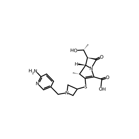 C[C@@H](O)[C@H]1C(=O)N2C(C(=O)O)=C(SC3CN(Cc4ccc(N)nc4)C3)[C@H](C)[C@H]12